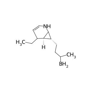 BC(C)CC[C@H]1C2NC=CC(CC)[C@@H]21